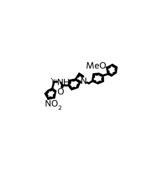 COc1ccccc1-c1ccc(Cn2ccc3cc(C(=O)N[C@@H](C)c4ccc([N+](=O)[O-])cc4)ccc32)cc1